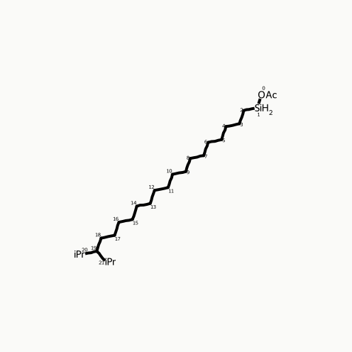 CC(=O)O[SiH2]CCCCCCCCCCCCCCCCCC(C(C)C)C(C)C